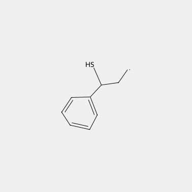 [CH2]CC(S)c1ccccc1